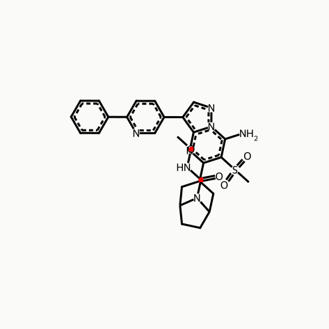 CONC(=O)N1C2CCC1CC(c1nc3c(-c4ccc(-c5ccccc5)nc4)cnn3c(N)c1S(C)(=O)=O)C2